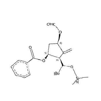 C=C1[C@H](OC=O)C[C@H](OC(=O)c2ccccc2)[C@@H]1C(O[SiH](C)C)C(C)(C)C